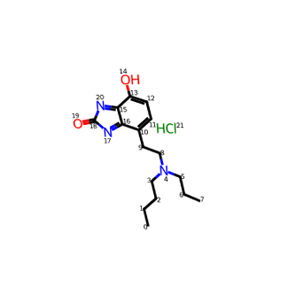 CCCCN(CCC)CCc1ccc(O)c2c1=NC(=O)N=2.Cl